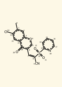 Cc1cc2occ(C=C(C#N)S(=O)(=O)c3ccccn3)c(=O)c2cc1Cl